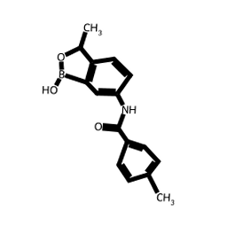 Cc1ccc(C(=O)Nc2ccc3c(c2)B(O)OC3C)cc1